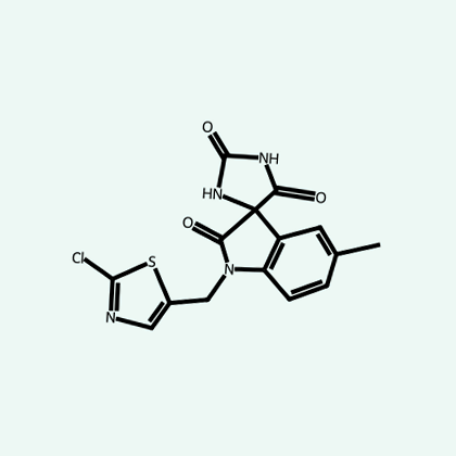 Cc1ccc2c(c1)C1(NC(=O)NC1=O)C(=O)N2Cc1cnc(Cl)s1